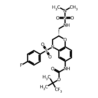 CN(C)S(=O)(=O)NC[C@H]1CN(S(=O)(=O)c2ccc(F)cc2)c2cc(NC(=O)OC(C)(C)C(F)(F)F)ccc2O1